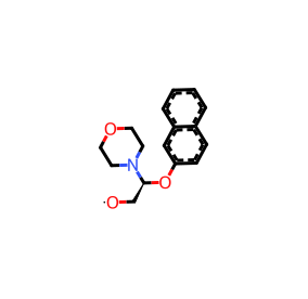 [O]C[C@H](Oc1ccc2ccccc2c1)N1CCOCC1